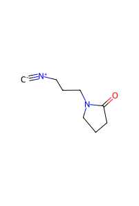 [C-]#[N+]CCCN1CCCC1=O